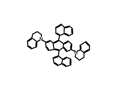 c1ccc2c(c1)CCCN2c1ccc2c(-c3cccc4ccccc34)c3cc(N4CCCc5ccccc54)ccc3c(-c3cccc4ccccc34)c2c1